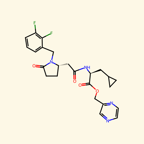 O=C(C[C@@H]1CCC(=O)N1Cc1cccc(F)c1F)N[C@@H](CC1CC1)C(=O)OCc1cnccn1